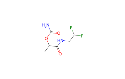 CC(OC(N)=O)C(=O)NCC(F)F